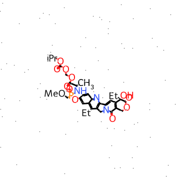 CCc1c2c(nc3ccc(OP(=O)(COC)NC(C)C(=O)OCOC(=O)OC(C)C)cc13)-c1cc3c(c(=O)n1C2)COC(=O)[C@]3(O)CC